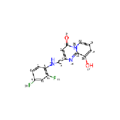 O=c1cc(CNc2ccc(F)cc2F)nc2c(O)cccn12